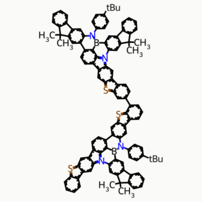 CC(C)(C)c1ccc(N2B3c4cc5c(cc4-n4c6cc7c(cc6c6ccc(c3c64)-c3cc4sc6c(-c8ccc9c(c8)sc8cc%10c%11ccc%12c%13c%11n(c%10cc89)-c8cc9c(cc8B%13N(c8ccc(C(C)(C)C)cc8)c8cc%10c(cc8-%12)C(C)(C)c8ccccc8-%10)-c8ccccc8C9(C)C)cccc6c4cc32)sc2ccccc27)C(C)(C)c2ccccc2-5)cc1